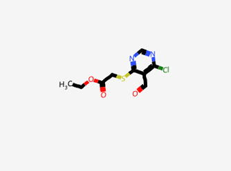 CCOC(=O)CSc1ncnc(Cl)c1C=O